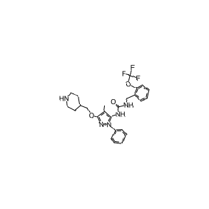 Cc1c(OCC2CCNCC2)nn(-c2ccccc2)c1NC(=O)NCc1ccccc1OC(F)(F)F